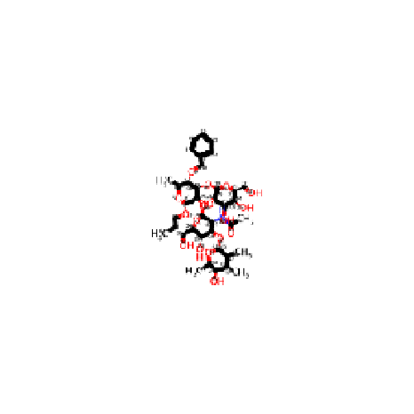 CCCO[C@@H]1OC(C)[C@H](OCc2ccccc2)[C@H](O[C@H]2O[C@@H](CO)[C@@H](O)C(O)C2O)C1O[C@@H]1OC(CO)[C@@H](O)C(O[C@@H]2OC(C)[C@H](O)[C@H](C)C2C)[C@@H]1NC(C)=O